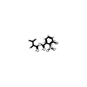 CC(C)C(C)C(=O)OC(=O)c1cccc(Br)c1[N+](=O)[O-]